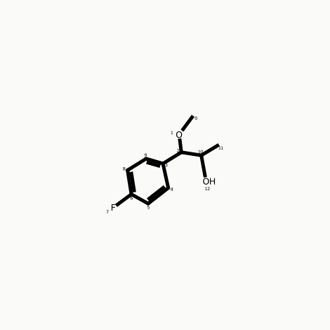 COC(c1ccc(F)cc1)C(C)O